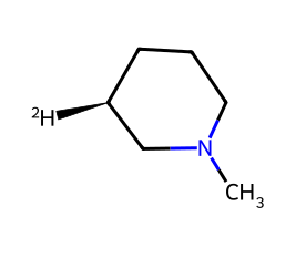 [2H][C@H]1CCCN(C)C1